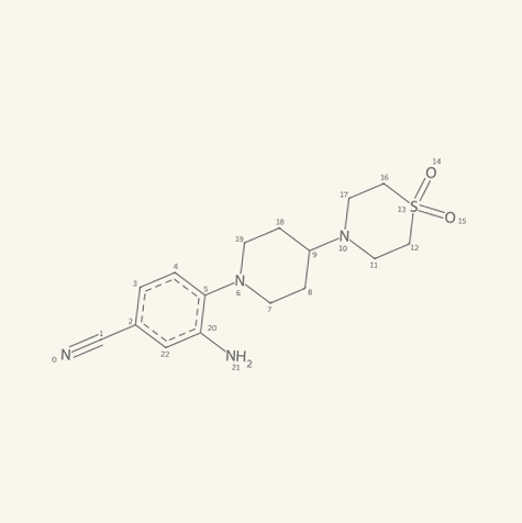 N#Cc1ccc(N2CCC(N3CCS(=O)(=O)CC3)CC2)c(N)c1